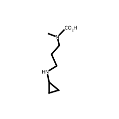 CN(CCCNC1CC1)C(=O)O